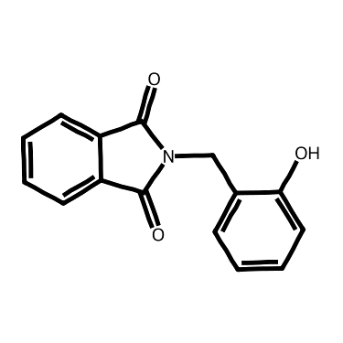 O=C1c2ccccc2C(=O)N1Cc1ccccc1O